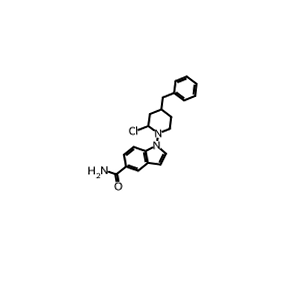 NC(=O)c1ccc2c(ccn2N2CCC(Cc3ccccc3)CC2Cl)c1